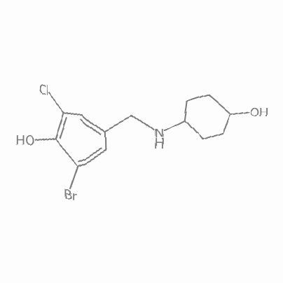 Oc1c(Cl)cc(CNC2CCC(O)CC2)cc1Br